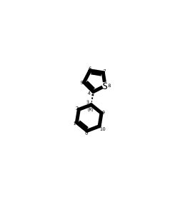 C1=CC[C@H](c2cccs2)CC1